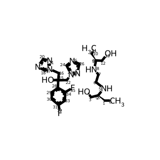 CC[C@@H](CO)NCCN[C@@H](CC)CO.OC(Cn1cncn1)(Cn1cncn1)c1ccc(F)cc1F